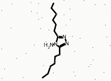 CCCCCCc1nnc(CCCCCC)n1N